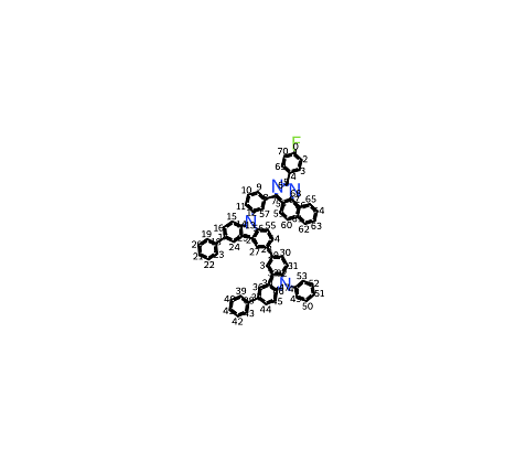 Fc1ccc(-c2nc(-c3cccc(-n4c5ccc(-c6ccccc6)cc5c5cc(-c6ccc7c(c6)c6cc(-c8ccccc8)ccc6n7-c6ccccc6)ccc54)c3)c3ccc4ccccc4c3n2)cc1